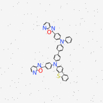 c1ccc(N(c2ccc(-c3ccc(N(c4ccc(-c5nc6cccnc6o5)cc4)c4ccc5c(c4)sc4ccccc45)cc3)cc2)c2ccc(-c3nc4cccnc4o3)cc2)cc1